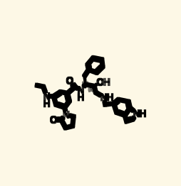 CCNc1cc(C(=O)N[C@@H](Cc2ccccc2)[C@@H](O)CNCc2ccc3[nH]ccc3c2)cc(N2CCCC2=O)c1